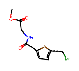 COC(=O)CNC(=O)c1ccc(CBr)s1